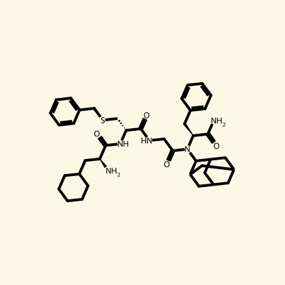 NC(=O)[C@H](Cc1ccccc1)N(C(=O)CNC(=O)[C@@H](CSCc1ccccc1)NC(=O)[C@@H](N)CC1CCCCC1)C1C2CC3CC(C2)CC1C3